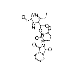 CCC(C)C(NC(N)C=O)C(=O)ON1C(=O)CC[C@H](N2C(=O)c3ccccc3C2=O)C1=O